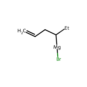 C=CC[CH](CC)[Mg][Br]